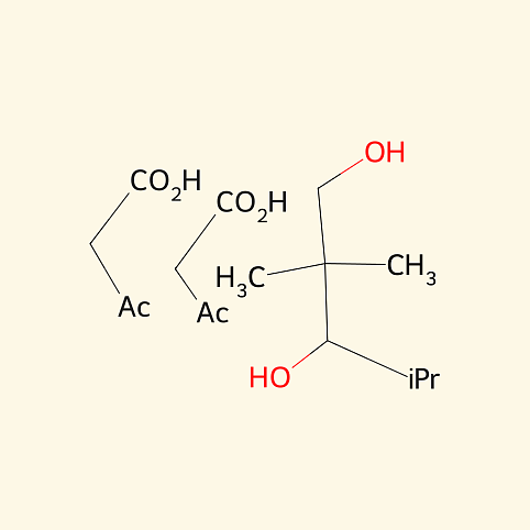 CC(=O)CC(=O)O.CC(=O)CC(=O)O.CC(C)C(O)C(C)(C)CO